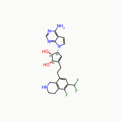 Nc1ncnc2c1ccn2[C@@H]1C=C(CCc2cc(C(F)F)c(F)c3c2CNCC3)[C@@H](O)[C@H]1O